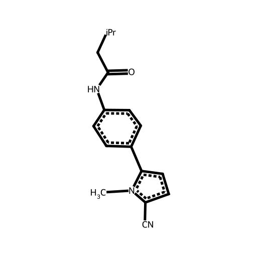 CC(C)CC(=O)Nc1ccc(-c2ccc(C#N)n2C)cc1